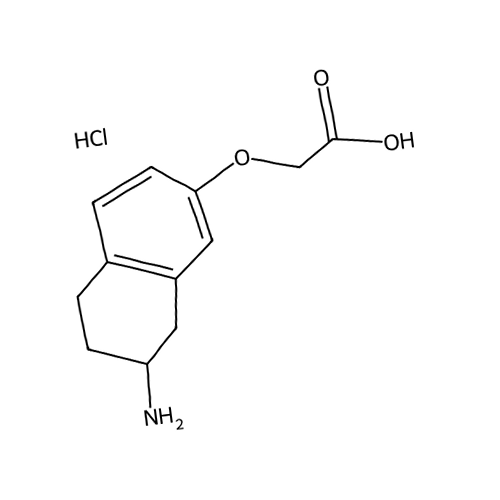 Cl.NC1CCc2ccc(OCC(=O)O)cc2C1